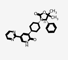 CC1(C)OC(=O)N([C@H]2CC[C@H](c3cc(-c4ncccn4)c[nH]c3=O)CC2)[C@H]1c1ccccc1